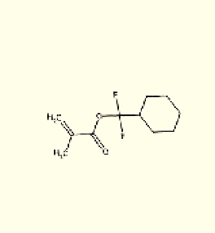 C=C(C)C(=O)OC(F)(F)C1CCCCC1